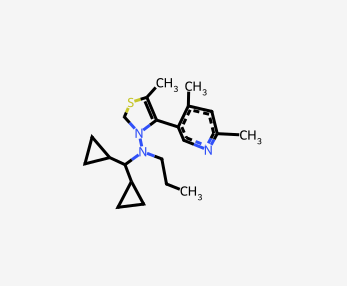 CCCN(C(C1CC1)C1CC1)N1CSC(C)=C1c1cnc(C)cc1C